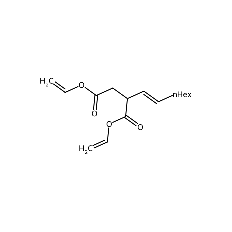 C=COC(=O)CC(/C=C/CCCCCC)C(=O)OC=C